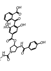 CNC(=O)N1CC(NC(=O)c2ccc(O)cc2)C(OC(=O)c2cc(O)c(C(=O)c3c(O)cccc3C(=O)O)c(O)c2)C1